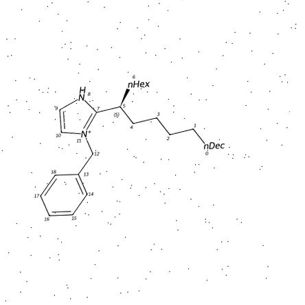 CCCCCCCCCCCCCC[C@H](CCCCCC)c1[nH]cc[n+]1Cc1ccccc1